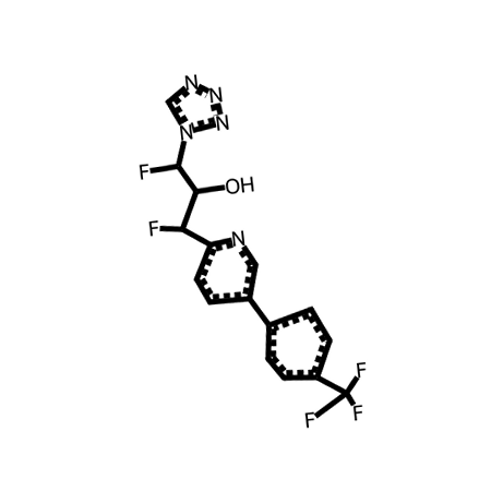 OC(C(F)c1ccc(-c2ccc(C(F)(F)F)cc2)cn1)C(F)n1cnnn1